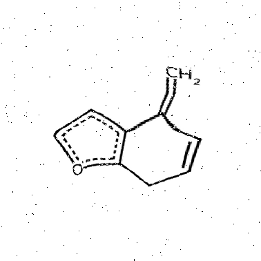 C=C1C=CCc2occc21